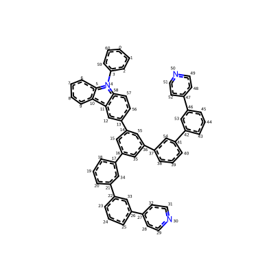 c1ccc(-n2c3ccccc3c3cc(-c4cc(-c5cccc(-c6cccc(-c7ccncc7)c6)c5)cc(-c5cccc(-c6cccc(-c7ccncc7)c6)c5)c4)ccc32)cc1